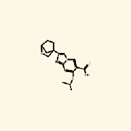 CC(C)Oc1cc2nc(C34CCC(C3)OC4)cn2cc1C(=O)O